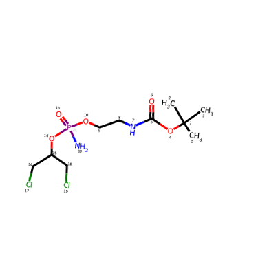 CC(C)(C)OC(=O)NCCOP(N)(=O)OC(CCl)CCl